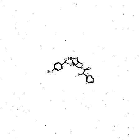 CC(C)(C)c1ccc(C(=O)Nc2[nH]nc3c2CN(C(=O)C(F)c2ccccc2)C3)cc1